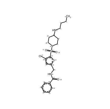 CCCCNC1CCN(S(=O)(=O)c2sc(CNC(=O)c3ccccc3)cc2Cl)CC1